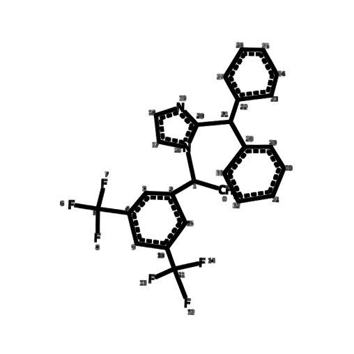 CC(c1cc(C(F)(F)F)cc(C(F)(F)F)c1)n1ccnc1C(c1ccccc1)c1ccccc1